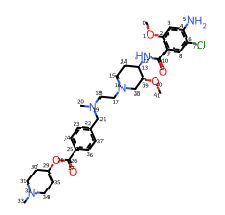 COc1cc(N)c(Cl)cc1C(=O)N[C@@H]1CCN(CCN(C)Cc2ccc(C(=O)OC3CCN(C)CC3)cc2)C[C@@H]1OC